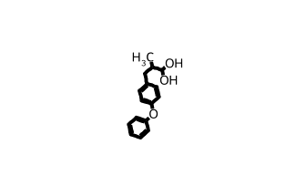 CC(Cc1ccc(Oc2ccccc2)cc1)C(O)O